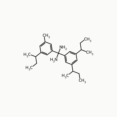 CCC(C)c1cc(C)cc(C(N)(N)c2cc(C(C)CC)cc(C(C)CC)c2)c1